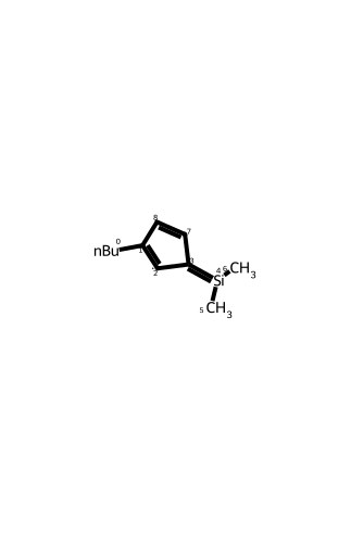 CCCCC1=[C]C(=[Si](C)C)C=C1